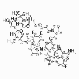 C[C@H](NC(=O)[C@@H]1C[C@@H](O)CN1C(=O)[C@@H](NC(=O)CCOCCCN1CCCC1COc1nc(N2CC3CCC(C2)N3)c2cc(C(F)(F)F)c(-c3ccc(F)c4sc(N)c(C#N)c34)c(F)c2n1)C(C)(C)C)c1ccc(-c2c(F)ccc(F)c2F)cc1